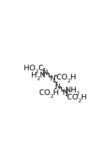 NN(CCN(CCN(CCN(N)CC(=O)O)CC(=O)O)CC(=O)O)CC(=O)O